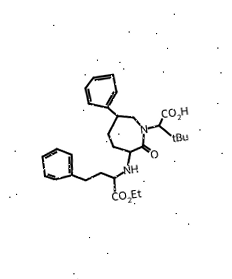 CCOC(=O)C(CCc1ccccc1)NC1CCC(c2ccccc2)CN(C(C(=O)O)C(C)(C)C)C1=O